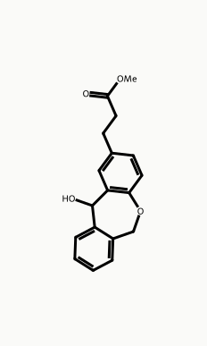 COC(=O)CCc1ccc2c(c1)C(O)c1ccccc1CO2